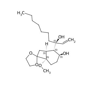 C=C[C@@](O)(CCCCCCC)[C@@H]1[C@@H](O)CC[C@]2(OC)[C@H]1CC21OCCO1